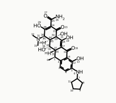 C[C@@H]1c2ccc(NC3CCCC3)c(O)c2C(=O)C2=C(O)[C@]3(O)C(=O)C(C(N)=O)=C(O)[C@H](N(C)C)[C@@H]3[C@@H](O)[C@H]21